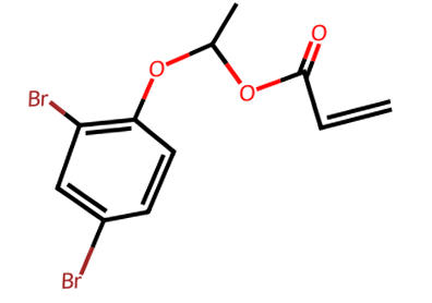 C=CC(=O)OC(C)Oc1ccc(Br)cc1Br